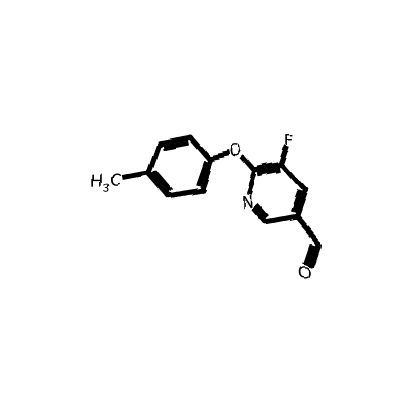 Cc1ccc(Oc2ncc(C=O)cc2F)cc1